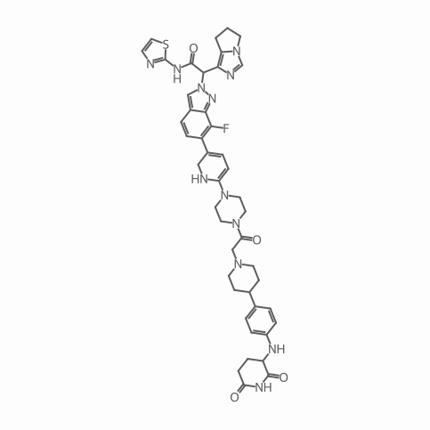 O=C1CCC(Nc2ccc(C3CCN(CC(=O)N4CCN(C5=CC=C(c6ccc7cn(C(C(=O)Nc8nccs8)c8ncn9c8CCC9)nc7c6F)CN5)CC4)CC3)cc2)C(=O)N1